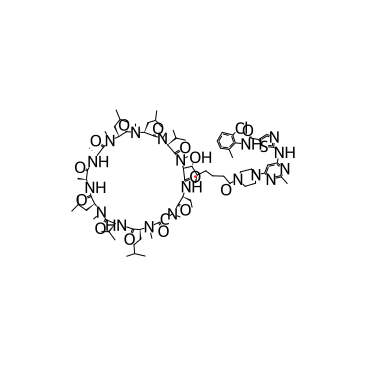 CC[C@@H]1NC(=O)[C@H]([C@H](O)[C@H](C)CCCC(=O)N2CCN(c3cc(Nc4ncc(C(=O)Nc5c(C)cccc5Cl)s4)nc(C)n3)CC2)N(C)C(=O)[C@H](C(C)C)N(C)C(=O)[C@H](CC(C)C)N(C)C(=O)[C@H](CC(C)C)N(C)C(=O)[C@@H](C)NC(=O)[C@H](C)NC(=O)[C@H](CC(C)C)N(C)C(=O)[C@H](C(C)C)NC(=O)[C@H](CCC(C)C)N(C)C(=O)CN(C)C1=O